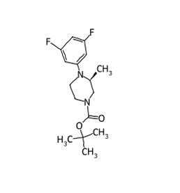 C[C@H]1CN(C(=O)OC(C)(C)C)CCN1c1cc(F)cc(F)c1